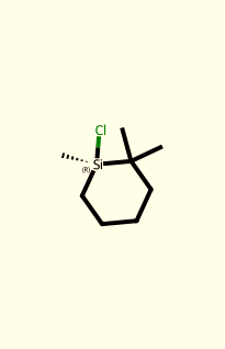 CC1(C)CCCC[Si@@]1(C)Cl